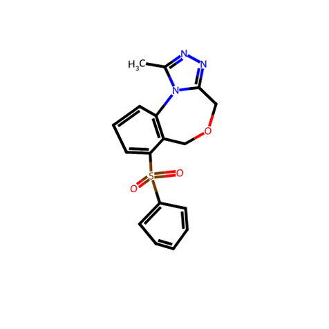 Cc1nnc2n1-c1cccc(S(=O)(=O)c3ccccc3)c1COC2